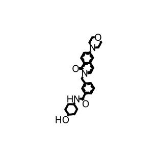 O=C(NC1CCC(O)CC1)c1cccc(Cn2ccc3cc(N4CCOCC4)ccc3c2=O)c1